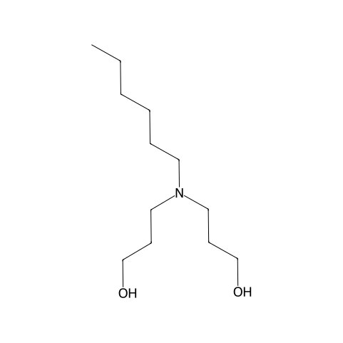 CCCCCCN(CCCO)CCCO